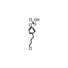 O=S(=O)(O)Oc1ccc(CCCCCl)cc1